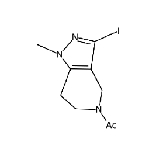 CC(=O)N1CCc2c(c(I)nn2C)C1